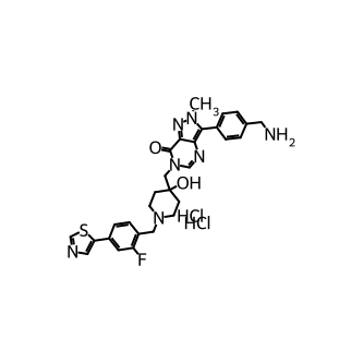 Cl.Cl.Cn1nc2c(=O)n(CC3(O)CCN(Cc4ccc(-c5cncs5)cc4F)CC3)cnc2c1-c1ccc(CN)cc1